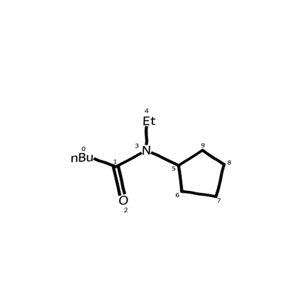 CCCCC(=O)N(CC)C1CCCC1